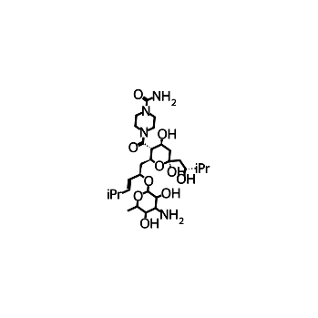 CC(C)/C=C/[C@@H](C[C@@H]1O[C@](O)(C[C@@H](O)C(C)C)C[C@H](O)[C@H]1C(=O)N1CCN(C(N)=O)CC1)OC1OC(C)C(O)C(N)C1O